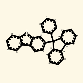 c1ccc(C2(c3ccc4c(c3)oc3ccccc34)c3ccccc3-c3ccccc32)cc1